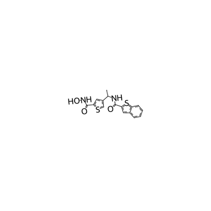 CC(NC(=O)c1cc2ccccc2s1)c1csc(C(=O)NO)c1